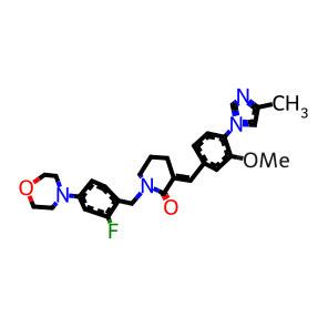 COc1cc(C=C2CCCN(Cc3ccc(N4CCOCC4)cc3F)C2=O)ccc1-n1cnc(C)c1